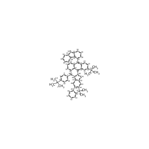 CC(C)(C)c1ccc(N2c3cccc4c3B(c3cc(C(C)(C)C)ccc3N4c3cccc4sc5ccccc5c34)c3sc4cc5c(cc4c32)-c2ccccc2C5(C)C)cc1